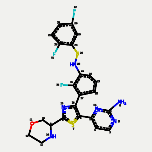 Nc1nccc(-c2sc(C3COCCN3)nc2-c2cccc(NSc3cc(F)ccc3F)c2F)n1